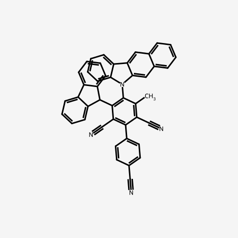 Cc1c(C#N)c(-c2ccc(C#N)cc2)c(C#N)c(C2c3ccccc3-c3ccccc32)c1-n1c2ccccc2c2cc3ccccc3cc21